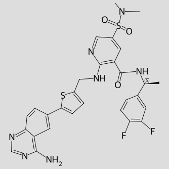 C[C@H](NC(=O)c1cc(S(=O)(=O)N(C)C)cnc1NCc1ccc(-c2ccc3ncnc(N)c3c2)s1)c1ccc(F)c(F)c1